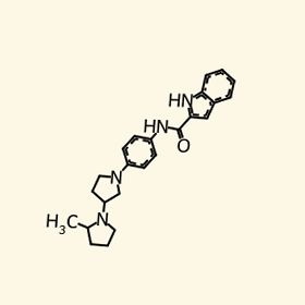 CC1CCCN1C1CCN(c2ccc(NC(=O)c3cc4ccccc4[nH]3)cc2)C1